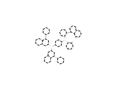 c1ccc(-c2cc(N(c3ccc(N4c5ccccc5Sc5cccc6cccc(c56)-c5ccccc54)cc3)c3cc(-c4ccccc4)c4ccccc4c3)cc3ccccc23)cc1